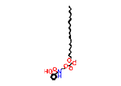 CCC=CCC=CCC=CCC=CCC=CCCCCOC(OC)C(=O)OCCNC(=O)c1ccccc1O